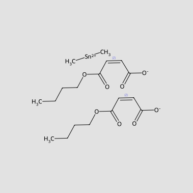 CCCCOC(=O)/C=C\C(=O)[O-].CCCCOC(=O)/C=C\C(=O)[O-].[CH3][Sn+2][CH3]